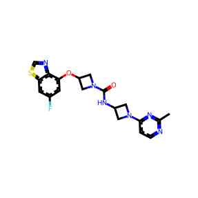 Cc1nccc(N2CC(NC(=O)N3CC(Oc4cc(F)cc5scnc45)C3)C2)n1